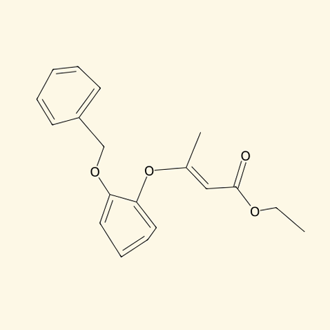 CCOC(=O)C=C(C)Oc1ccccc1OCc1ccccc1